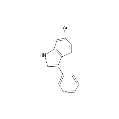 CC(=O)c1ccc2c(-c3ccccc3)c[nH]c2c1